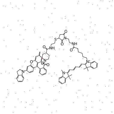 C=c1ccc2c(c1)Oc1cc(N3CCc4ccccc43)ccc1C=2c1ccccc1S(=O)(=O)N1CCC(C(=O)NCCSC2CC(=O)N(CCNC(=O)CCCCC[N+]3=C(/C=C/C=C/C=C4/N(C)c5ccccc5C4(C)C)C(C)(C)c4ccccc43)C2=O)CC1